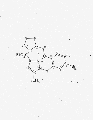 CCOC(=O)c1cc(C)n(Cc2cc(Br)ccc2OCC2CCCC2)n1